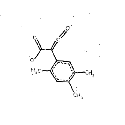 Cc1cc(C)c(C(=C=O)C(=O)Cl)cc1C